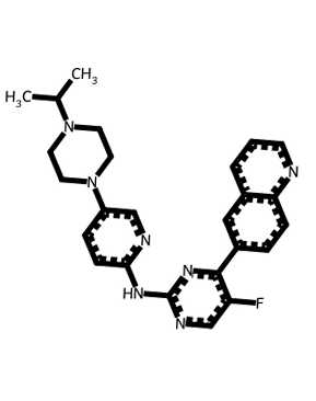 CC(C)N1CCN(c2ccc(Nc3ncc(F)c(-c4ccc5ncccc5c4)n3)nc2)CC1